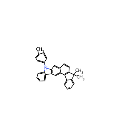 Cc1ccc(-n2c3ccccc3c3cc4c5c(ccc4cc32)C(C)(C)c2ccccc2-5)cc1